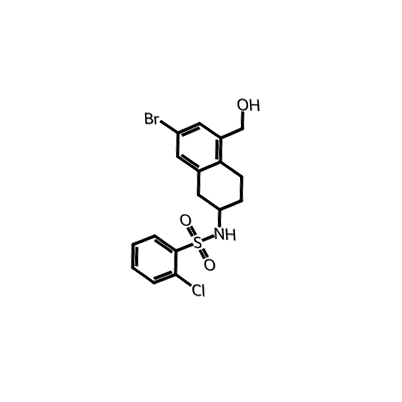 O=S(=O)(NC1CCc2c(CO)cc(Br)cc2C1)c1ccccc1Cl